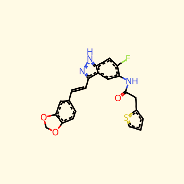 O=C(Cc1cccs1)Nc1cc2c(C=Cc3ccc4c(c3)OCO4)n[nH]c2cc1F